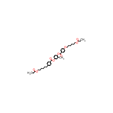 C=CC(=O)OCCCCCCOc1ccc(C(=O)Oc2ccc(OC(=O)c3ccc(CCCCCCOC(=O)C=C)cc3)cc2C)cc1